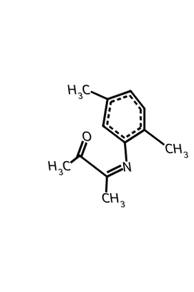 CC(=O)C(C)=Nc1cc(C)ccc1C